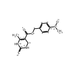 CC1=C(C(=O)OCc2ccc([S+](C)[O-])cc2)CNC(=S)N1